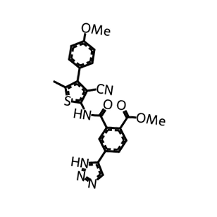 COC(=O)c1ccc(-c2cnn[nH]2)cc1C(=O)Nc1sc(C)c(-c2ccc(OC)cc2)c1C#N